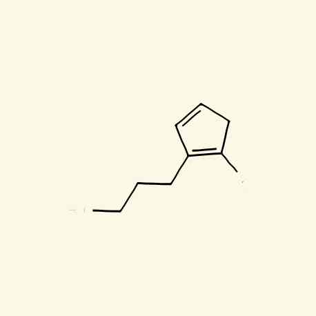 CCCCC1=[C]([V])CC=C1